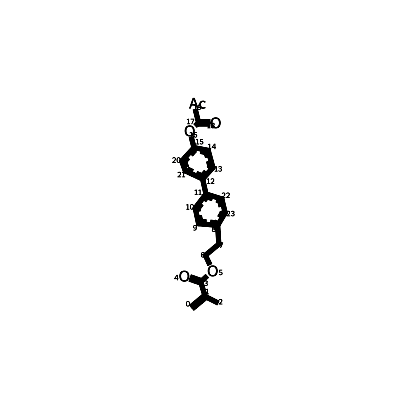 C=C(C)C(=O)OCCc1ccc(-c2ccc(OC(=O)C(C)=O)cc2)cc1